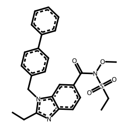 CCc1nc2ccc(C(=O)N(OC)S(=O)(=O)CC)cc2n1Cc1ccc(-c2ccccc2)cc1